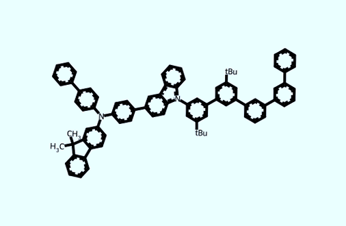 CC(C)(C)c1cc(-c2cccc(-c3cccc(-c4ccccc4)c3)c2)cc(-c2cc(-n3c4ccccc4c4cc(-c5ccc(N(c6ccc(-c7ccccc7)cc6)c6ccc7c(c6)C(C)(C)c6ccccc6-7)cc5)ccc43)cc(C(C)(C)C)c2)c1